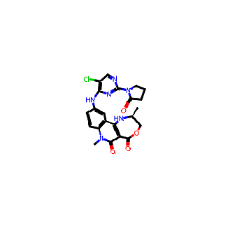 C[C@H]1COC(=O)c2c(c3cc(Nc4nc(N5CCCC5=O)ncc4Cl)ccc3n(C)c2=O)N1